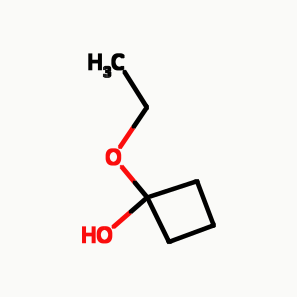 CCOC1(O)CCC1